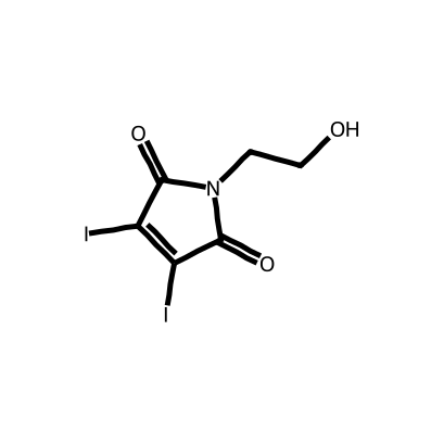 O=C1C(I)=C(I)C(=O)N1CCO